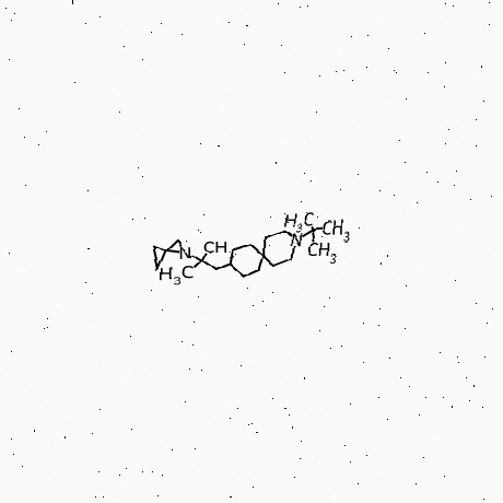 CC(C)(C)N1CCC2(CCC(CC(C)(C)N3CC34CC4)CC2)CC1